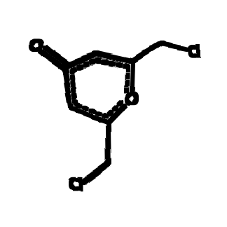 O=c1cc(CCl)oc(CCl)c1